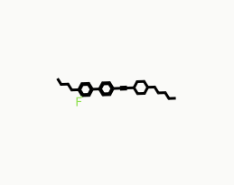 CCCCCC1CCC(C#Cc2ccc(-c3ccc(CCCC)c(F)c3)cc2)CC1